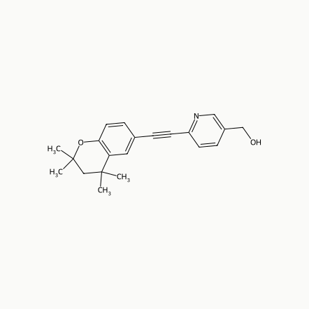 CC1(C)CC(C)(C)c2cc(C#Cc3ccc(CO)cn3)ccc2O1